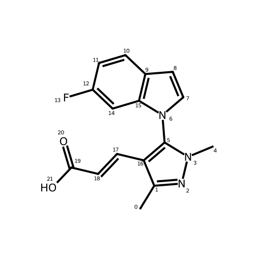 Cc1nn(C)c(-n2ccc3ccc(F)cc32)c1C=CC(=O)O